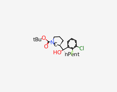 CCCCC[C@@](O)(c1cccc(Cl)c1F)[C@@H]1CCCN(C(=O)OC(C)(C)C)C1